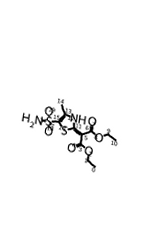 CCOC(=O)C(C(=O)OCC)=C1NC(C)=C(S(N)(=O)=O)S1